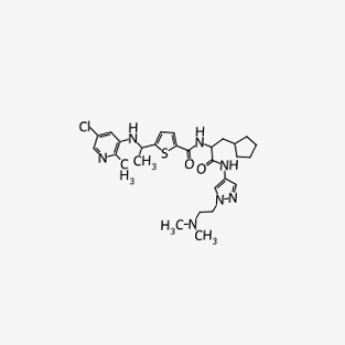 Cc1ncc(Cl)cc1NC(C)c1ccc(C(=O)NC(CC2CCCC2)C(=O)Nc2cnn(CCN(C)C)c2)s1